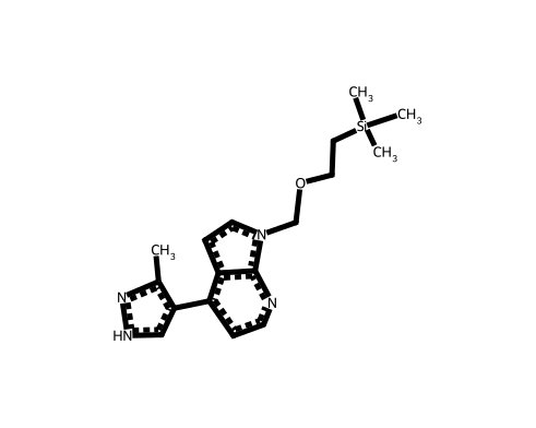 Cc1n[nH]cc1-c1ccnc2c1ccn2COCC[Si](C)(C)C